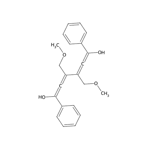 COCC(=C=C(O)c1ccccc1)C(=C=C(O)c1ccccc1)COC